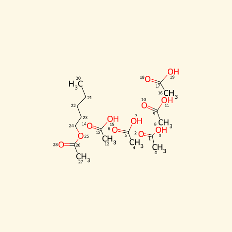 CC(=O)O.CC(=O)O.CC(=O)O.CC(=O)O.CC(=O)O.CCCCCOC(C)=O